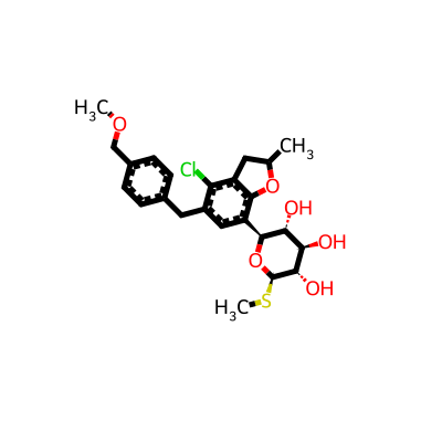 COCc1ccc(Cc2cc([C@@H]3O[C@H](SC)[C@@H](O)[C@H](O)[C@H]3O)c3c(c2Cl)CC(C)O3)cc1